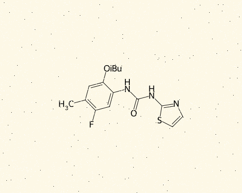 Cc1cc(OCC(C)C)c(NC(=O)Nc2nccs2)cc1F